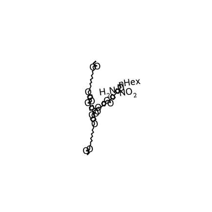 C=CC(=O)OCCCCCCCCCCCOc1ccc(OC(=O)c2ccc(C(=O)Oc3ccc(OCCCCCCCCCCCOC(=O)C=C)cc3)c(C(=O)OCc3ccc(OC(=O)c4ccc(-c5cc([N+](=O)[O-])c(O[C@@H](C)CCCCCC)cc5N)cc4)cc3)c2)cc1